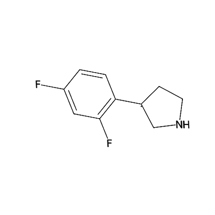 Fc1ccc([C]2CCNC2)c(F)c1